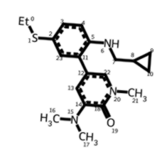 CCSc1ccc(NCC2CC2)c(-c2cc(N(C)C)c(=O)n(C)c2)c1